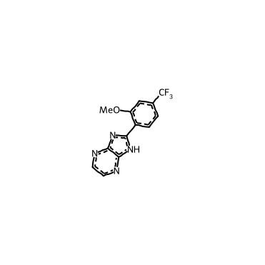 COc1cc(C(F)(F)F)ccc1-c1nc2nccnc2[nH]1